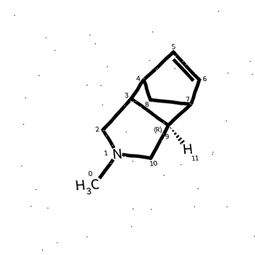 CN1CC2C3C=CC(C3)[C@H]2C1